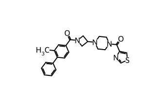 Cc1cc(C(=O)N2CC(N3CCN(C(=O)c4cscn4)CC3)C2)ccc1-c1ccccc1